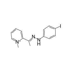 C/C(=N\Nc1ccc(I)cc1)c1cccc[n+]1C